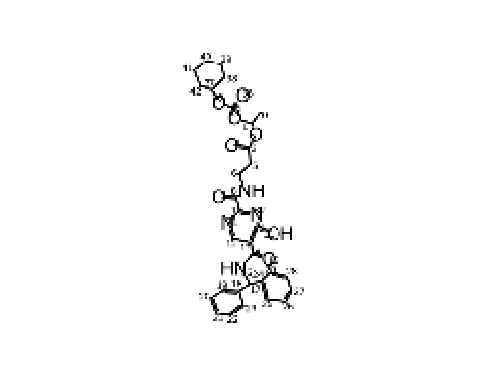 CC(OC(=O)CCNC(=O)c1ncc(C(=O)NC(c2ccccc2)c2ccccc2)c(O)n1)OC(=O)OC1CCCCC1